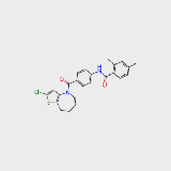 Cc1ccc(C(=O)Nc2ccc(C(=O)N3CCCCc4sc(Cl)cc43)cc2)c(C)c1